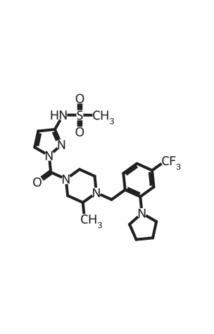 CC1CN(C(=O)n2ccc(NS(C)(=O)=O)n2)CCN1Cc1ccc(C(F)(F)F)cc1N1CCCC1